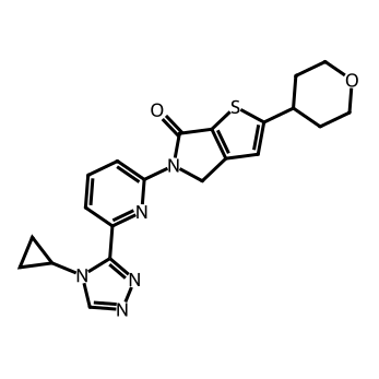 O=C1c2sc(C3CCOCC3)cc2CN1c1cccc(-c2nncn2C2CC2)n1